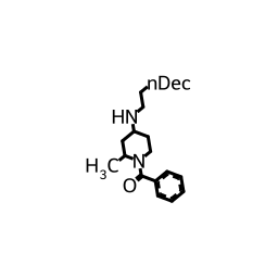 CCCCCCCCCCCCNC1CCN(C(=O)c2ccccc2)C(C)C1